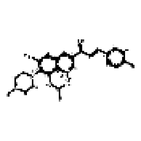 Cc1ccc(C=CC(=O)c2cc3cc(F)c(N4CCN(C)CC4)c(OC(C)C)c3[n+]([O-])c2)cc1